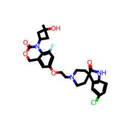 CC1(O)CC(N2C(=O)OCc3cc(OCCN4CCC5(CC4)C(=O)Nc4ccc(Cl)cc45)cc(F)c32)C1